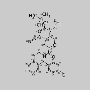 CCN(C(=O)OC(C)(C)C)[C@H]1CO[C@@H](C(=O)N2CCc3ccccc3[C@@H]2c2ccc(F)cc2)C[C@@H]1N=[N+]=[N-]